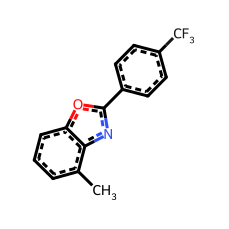 Cc1cccc2oc(-c3ccc(C(F)(F)F)cc3)nc12